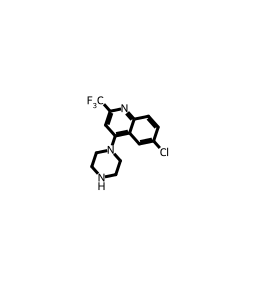 FC(F)(F)c1cc(N2CCNCC2)c2cc(Cl)ccc2n1